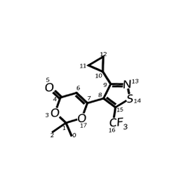 CC1(C)OC(=O)C=C(c2c(C3CC3)nsc2C(F)(F)F)O1